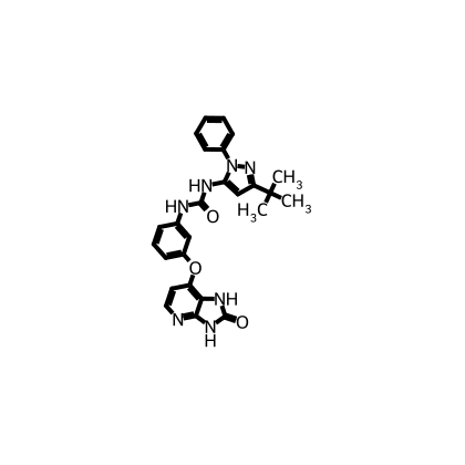 CC(C)(C)c1cc(NC(=O)Nc2cccc(Oc3ccnc4[nH]c(=O)[nH]c34)c2)n(-c2ccccc2)n1